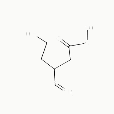 C=CC(CCC)CC(=O)OC